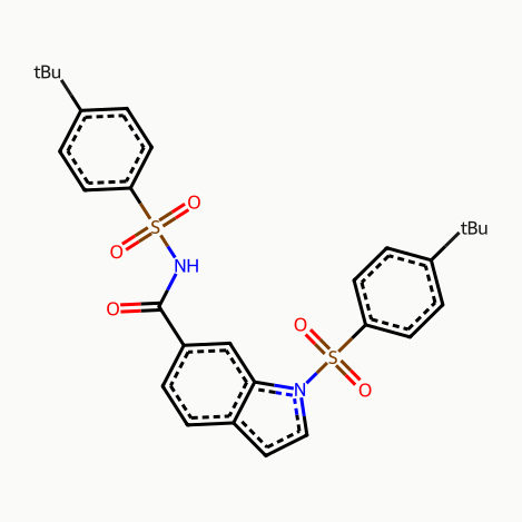 CC(C)(C)c1ccc(S(=O)(=O)NC(=O)c2ccc3ccn(S(=O)(=O)c4ccc(C(C)(C)C)cc4)c3c2)cc1